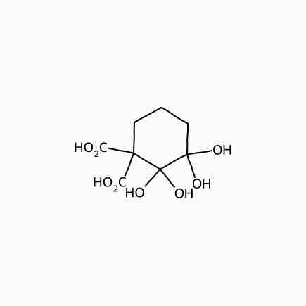 O=C(O)C1(C(=O)O)CCCC(O)(O)C1(O)O